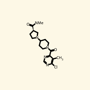 CNC(=O)[C@@H]1CCN(C2CCN(C(=O)c3ncnc(Cl)c3C)CC2)C1